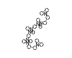 O=c1n(-c2ccc(-n3c(=O)n(-c4cccc(-c5cccc(-n6c7ccccc7c7ccccc76)c5)c4)c4ccccc43)cc2)c2ccccc2n1-c1ccc(-n2c(=O)n(-c3cccc(-c4cccc(-n5c6ccccc6c6ccccc65)c4)c3)c3ccccc32)cc1